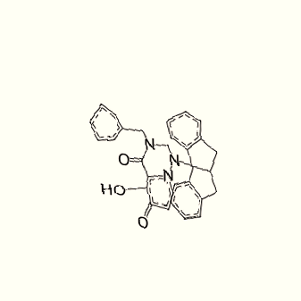 O=C1c2c(O)c(=O)ccn2N(C23c4ccccc4CC2Cc2ccccc23)CN1Cc1ccccc1